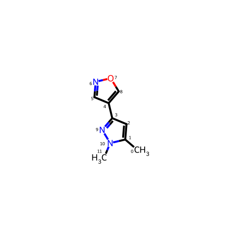 Cc1cc(-c2cnoc2)nn1C